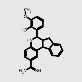 COc1cccc(C2Nc3ccc(C(=N)N)cc3C3c4ccccc4CC23)c1O